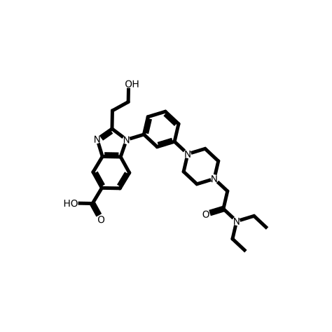 CCN(CC)C(=O)CN1CCN(c2cccc(-n3c(CCO)nc4cc(C(=O)O)ccc43)c2)CC1